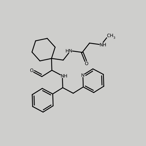 CNCC(=O)NCC1(C(C=O)NC(Cc2ccccn2)c2ccccc2)CCCCC1